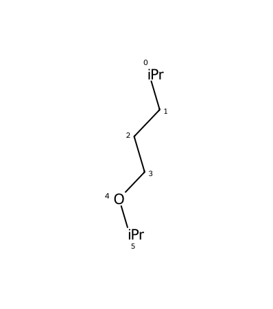 CC(C)CCCOC(C)C